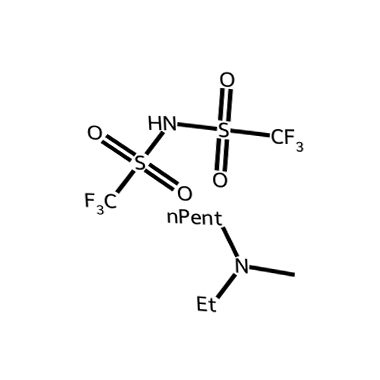 CCCCCN(C)CC.O=S(=O)(NS(=O)(=O)C(F)(F)F)C(F)(F)F